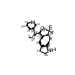 CSN(C(=O)c1cc2c(cc1C(F)(F)F)NCC2)c1cccnc1